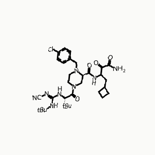 CC(C)(C)N/C(=N\C#N)N[C@H](C(=O)N1CCN(Cc2ccc(Cl)cc2)[C@@H](C(=O)NC(CC2CCC2)C(=O)C(N)=O)C1)C(C)(C)C